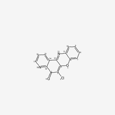 O=c1c(Cl)c2oc3ccccc3nc-2c2cccnc12